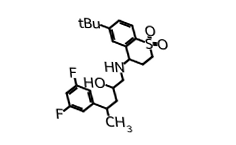 CC(CC(O)CNC1CCS(=O)(=O)c2ccc(C(C)(C)C)cc21)c1cc(F)cc(F)c1